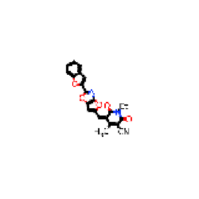 CCN1C(=O)C(C#N)=C(C)/C(=C/c2cc3oc(-c4cc5ccccc5o4)nc3o2)C1=O